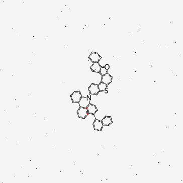 c1ccc(-c2ccccc2N(c2ccc(-c3cccc4ccccc34)cc2)c2ccc3c(c2)sc2ccc4oc5c6ccccc6ccc5c4c23)cc1